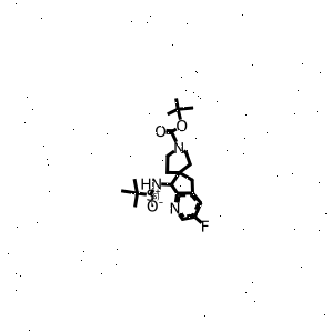 CC(C)(C)OC(=O)N1CCC2(CC1)Cc1cc(F)cnc1C2N[S@+]([O-])C(C)(C)C